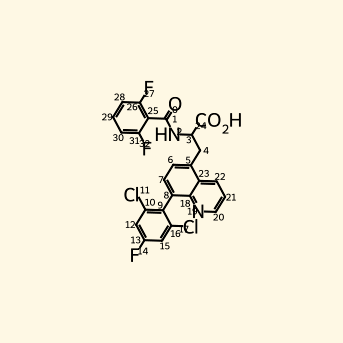 O=C(NC(Cc1ccc(-c2c(Cl)cc(F)cc2Cl)c2ncccc12)C(=O)O)c1c(F)cccc1F